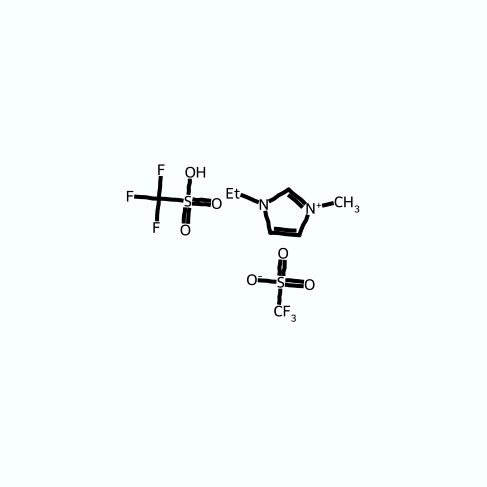 CCn1cc[n+](C)c1.O=S(=O)(O)C(F)(F)F.O=S(=O)([O-])C(F)(F)F